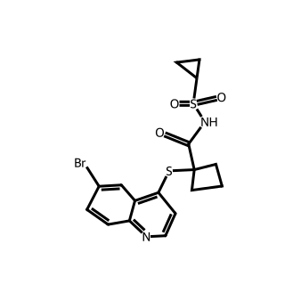 O=C(NS(=O)(=O)C1CC1)C1(Sc2ccnc3ccc(Br)cc23)CCC1